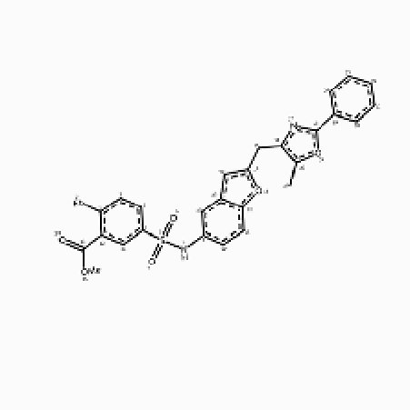 CCc1ccc(S(=O)(=O)Nc2ccc3oc(Cc4nc(-c5ccccc5)oc4C)cc3c2)cc1C(=O)OC